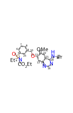 CCOC(=O)N=S(=O)(CC)c1cccc(COc2cc3ncnc(NC(C)C)c3cc2OC)c1